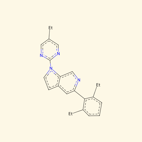 CCc1cnc(-n2ccc3cc(-c4c(CC)cccc4CC)ncc32)nc1